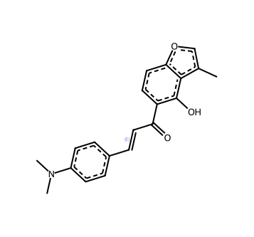 Cc1coc2ccc(C(=O)/C=C/c3ccc(N(C)C)cc3)c(O)c12